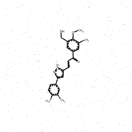 COc1c(C)cc(C(=O)/C=C/c2cc(-c3ccc(C)c(C)c3)n[nH]2)cc1CO